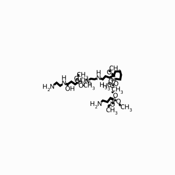 CCO[Si](CCCN)(OCC)OCC.COC1(CCCNCCN)CCCC[Si]1(OC)OC.CO[Si](C)(CCC(O)NCCN)OC